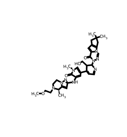 COCCN1CCn2nc(Nc3cc(C4=CC=NC(n5ncn6c7c(cc6c5=O)CC(C)(C)C7)C4CO)cn(C)c3=O)cc2[C@H]1C